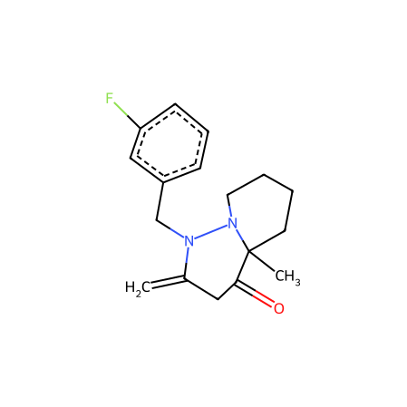 C=C1CC(=O)C2(C)CCCCN2N1Cc1cccc(F)c1